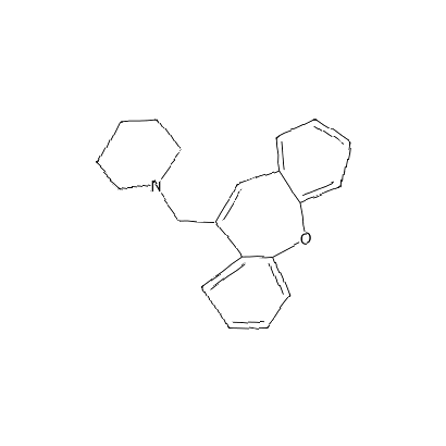 C1=C(CN2CCCCC2)c2ccccc2Oc2ccccc21